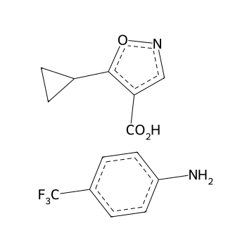 Nc1ccc(C(F)(F)F)cc1.O=C(O)c1cnoc1C1CC1